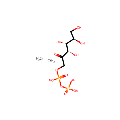 O=C(COP(=O)(O)OP(=O)(O)O)[C@@H](O)[C@H](O)[C@H](O)CO.[CaH2].[CaH2]